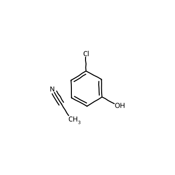 CC#N.Oc1cccc(Cl)c1